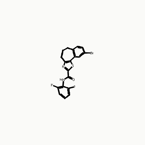 O=C(Nc1c(F)cccc1F)c1nc2c(s1)-c1cc(Br)ccc1CCC2